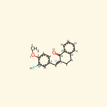 COc1ccc(/C=C2/CCc3ccccc3C2=O)cc1F